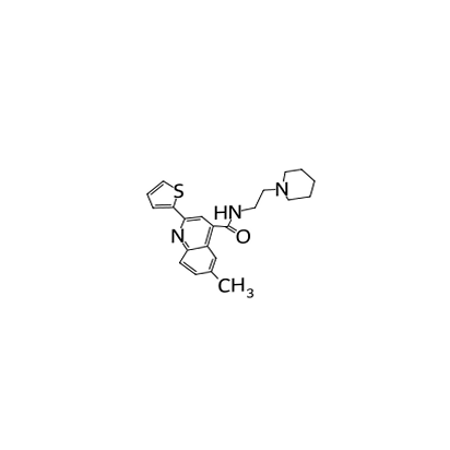 Cc1ccc2nc(-c3cccs3)cc(C(=O)NCCN3CCCCC3)c2c1